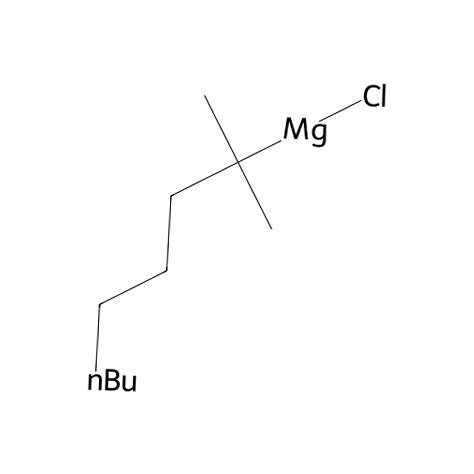 CCCCCCC[C](C)(C)[Mg][Cl]